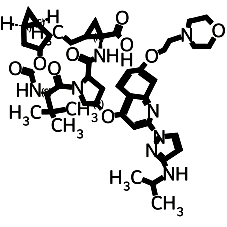 CCC1C[C@]1(NC(=O)C1C[C@@H](Oc2cc(-n3ccc(NC(C)C)n3)nc3cc(OCCN4CCOCC4)ccc23)CN1C(=O)[C@@H](NC(=O)OC1C[C@@H]2C[C@@H]2C1)C(C)(C)C)C(=O)O